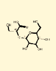 O=C(O)[C@@H](CO)O[C@@H]1OC(CO)[C@H](O)C(O)C1O